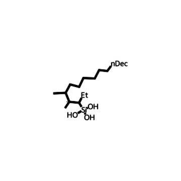 CCCCCCCCCCCCCCCCC(C)[C](C)C(CC)[Si](O)(O)O